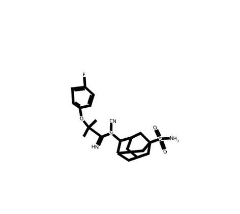 CC(C)(Oc1ccc(F)cc1)C(=N)N(C#N)C1C2CC3CC1CC(S(N)(=O)=O)(C3)C2